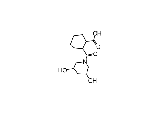 O=C(O)C1CCCCC1C(=O)N1CC(O)CC(O)C1